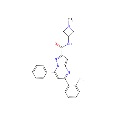 CN1CC(NC(=O)c2cc3nc(-c4ccccc4C(F)(F)F)cc(-c4ccccc4)n3n2)C1